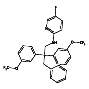 Fc1ccc(NCC(Cc2ccccc2)(c2cccc(OC(F)(F)F)c2)c2cccc(OC(F)(F)F)c2)nc1